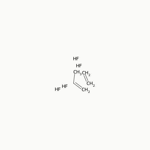 C=C.C=CC.F.F.F.F